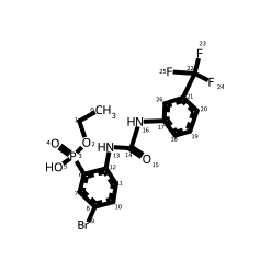 CCOP(=O)(O)c1cc(Br)ccc1NC(=O)Nc1cccc(C(F)(F)F)c1